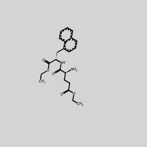 CCOC(=O)CC[C@H](N)C(=O)N[C@@H](Cc1cccc2ccccc12)C(=O)OCC